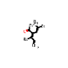 C=C/C(CC)=C(\C=C(/C)CC)C(=O)CC